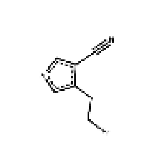 N#Cc1cscc1CCBr